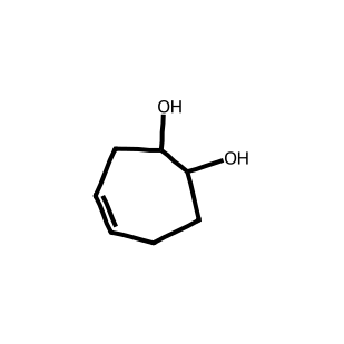 OC1CC=CCCC1O